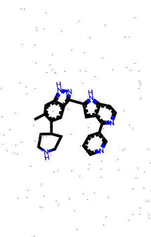 Cc1cc2[nH]nc(-c3cc4c(-c5cccnc5)nccc4[nH]3)c2cc1C1CCNCC1